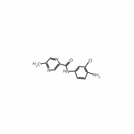 Cc1cnc(C(=O)Nc2ccc(N)c(Cl)c2)cn1